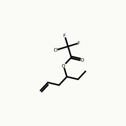 C=CCC(CC)OC(=O)C(F)(F)Cl